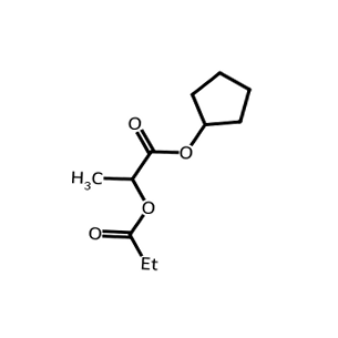 CCC(=O)OC(C)C(=O)OC1CCCC1